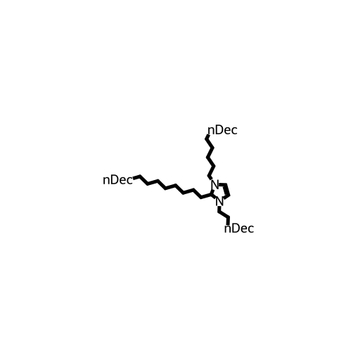 CCCCCCCCCCCCCCCCCCC1N(CCCCCCCCCCCC)C=CN1CCCCCCCCCCCCCCC